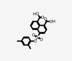 Cc1ccc(OS(=O)(=O)c2ccc(C(=O)O)c3c(C(=O)O)cccc23)c(C)c1